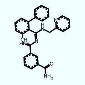 Cc1cccc(-c2ccccc2)c1/C(=N\C(=N)c1cccc(C(N)=O)c1)NCc1ccccn1